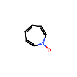 [O]N1C=CC=CC=C1